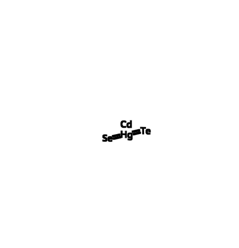 [Cd].[Se]=[Hg]=[Te]